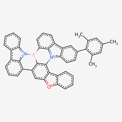 Cc1cc(C)c(-c2ccc3c(c2)c2cccc4c2n3-c2c3c(cc5oc6ccccc6c25)-c2cccc5c6ccccc6n(c25)B34)c(C)c1